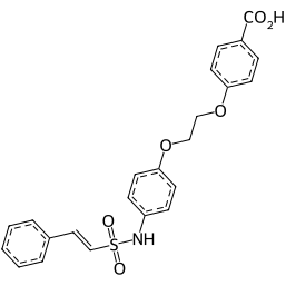 O=C(O)c1ccc(OCCOc2ccc(NS(=O)(=O)C=Cc3ccccc3)cc2)cc1